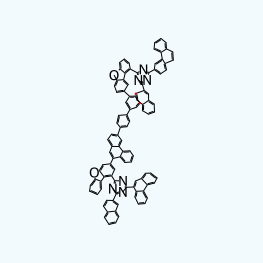 c1cc(-c2ccc(-c3ccc4cc(-c5cc(-c6nc(-c7ccc8ccccc8c7)nc(-c7cc8ccccc8c8ccccc78)n6)c6c(c5)oc5ccccc56)c5ccccc5c4c3)cc2)cc(-c2ccc3oc4cccc(-c5nc(-c6ccc7ccccc7c6)nc(-c6ccc7ccc8ccccc8c7c6)n5)c4c3c2)c1